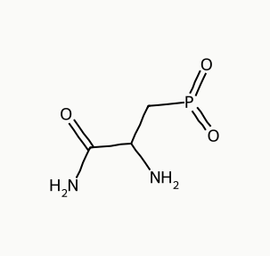 NC(=O)C(N)CP(=O)=O